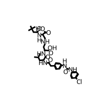 CC(C)CC(NC(=O)Cc1ccc(NC(=O)Nc2ccc(Cl)cc2)cc1)C(=O)NC(CCNCC(NC(=O)CC(C)(C)C)C(=O)O)C(=O)O